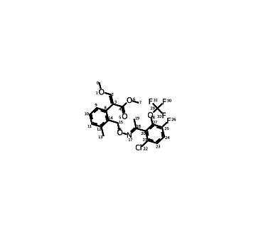 CO/C=C(/C(=O)OC)c1cccc(C)c1CO/N=C(\C)c1c(Cl)ccc(F)c1OC(F)(F)F